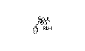 C=C(C)C(=O)OS(=O)(=O)CCCN1CCOCC1.[RbH]